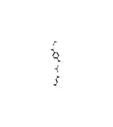 CCC(O)COC(=O)c1ccc(C(=O)OCC(O)COC(=O)/C=C/C(=O)OC)cc1